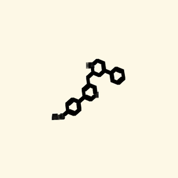 COc1ccc(-c2cncc(CC3CC(c4ccccc4)=CCN3)c2)cc1